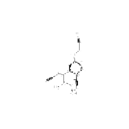 CCC(C)C(CC#N)c1cc(OCC#N)ccc1C#N